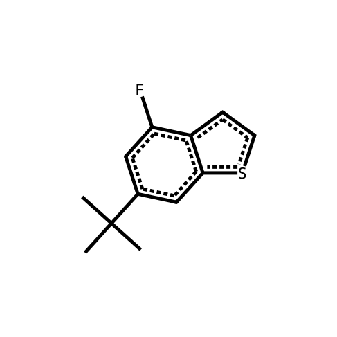 CC(C)(C)c1cc(F)c2ccsc2c1